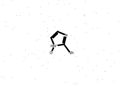 CC(C)C1=NC=C[NH+]1[O-]